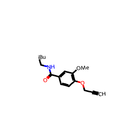 C#CCOc1ccc(C(=O)NCC(C)CC)cc1OC